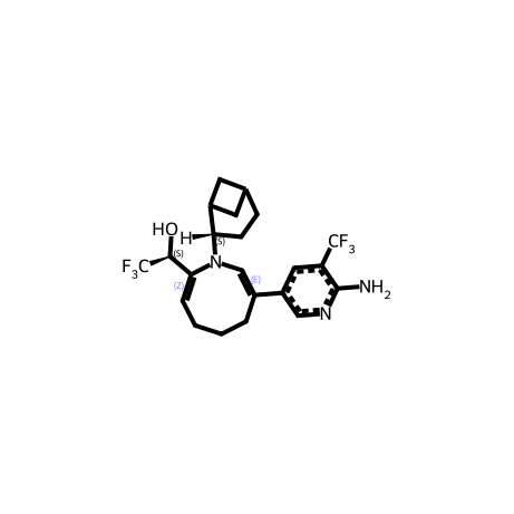 Nc1ncc(/C2=C/N([C@H]3CCC4CC3C4)/C([C@H](O)C(F)(F)F)=C\CCC2)cc1C(F)(F)F